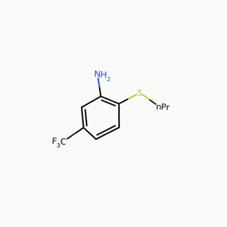 CCCSc1ccc(C(F)(F)F)cc1N